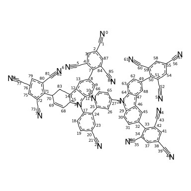 N#Cc1cc(C#N)c(-c2ccc3c(c2)c2c(n3-c3ccc(C#N)cc3-c3cc(-n4c5ccc(-c6c(C#N)cc(C#N)cc6C#N)cc5c5cc(-c6c(C#N)cc(C#N)cc6C#N)ccc54)ccn3)C=CC(c3c(C#N)cc(C#N)cc3C#N)C2)c(C#N)c1